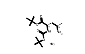 C[C@H](N)C[C@H](NC(=O)OC(C)(C)C)C(=O)OC(C)(C)C.Cl